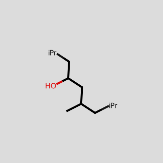 CC(C)CC(C)CC(O)CC(C)C